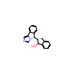 O[C@@H]1c2ccccc2C[C@H]1[C@H]1c2ccccc2-c2cncn21